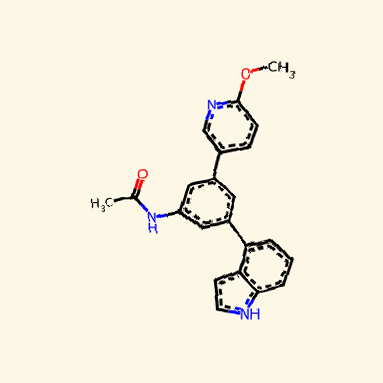 COc1ccc(-c2cc(NC(C)=O)cc(-c3cccc4[nH]ccc34)c2)cn1